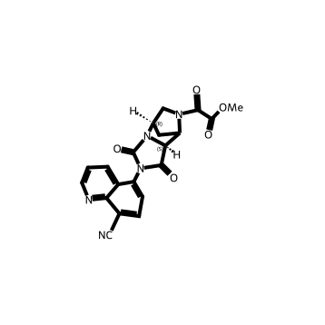 COC(=O)C(=O)N1C[C@H]2CC1[C@H]1C(=O)N(c3ccc(C#N)c4ncccc34)C(=O)N21